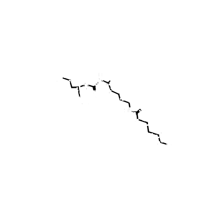 O=C(O)CCC(NC(=O)NC(CCCCNC(=O)CCCCCO)C(=O)O)C(=O)O